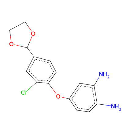 Nc1ccc(Oc2ccc(C3OCCO3)cc2Cl)cc1N